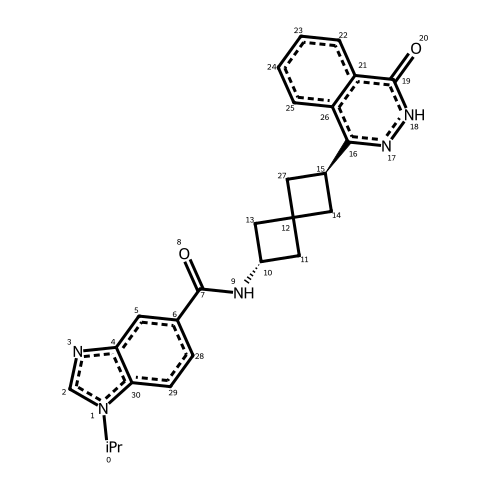 CC(C)n1cnc2cc(C(=O)N[C@H]3CC4(C3)C[C@H](c3n[nH]c(=O)c5ccccc53)C4)ccc21